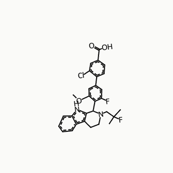 COc1cc(-c2ccc(C(=O)O)cc2Cl)cc(F)c1C1c2[nH]c3ccccc3c2CCN1CC(C)(C)F